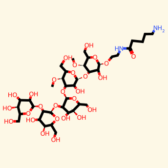 CO[C@@H]1C(CO)O[C@H](OC2C(O)[C@@H](OCCNC(=O)CCCCN)OC(CO)[C@H]2OC)C(O)C1O[C@H]1OC(CO)[C@@H](O)C(O)C1O[C@H]1OC(CO)[C@@H](O)C(O)C1O[C@H]1OC(CO)[C@@H](O)C(O)C1O